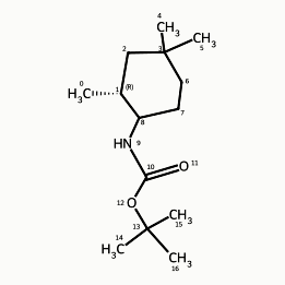 C[C@@H]1CC(C)(C)CCC1NC(=O)OC(C)(C)C